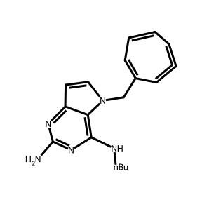 CCCCNc1nc(N)nc2ccn(CC3=CC=CC=C=C3)c12